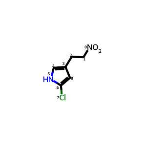 O=[N+]([O-])CCc1c[nH]c(Cl)c1